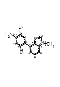 Cn1ncc2c(-c3cc(F)c(N)cc3Cl)cccc21